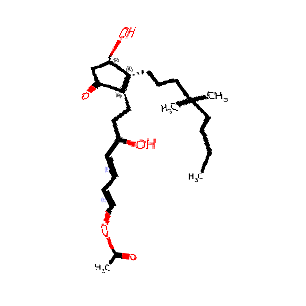 CCCCC(C)(C)CCC[C@H]1[C@H](O)CC(=O)[C@@H]1CCC(O)/C=C/C=C/OC(C)=O